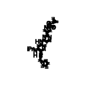 CC(C)Nc1cc(Nc2ccnc(-c3cnn(S(=O)(=O)C4CC4)c3)n2)ncc1C#CCN1CCCC1